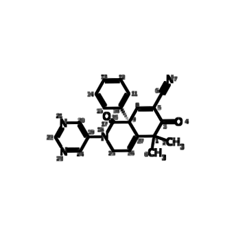 CC1(C)C(=O)C(C#N)=C[C@]2(c3ccccc3)C(=O)N(c3cncnc3)CC=C12